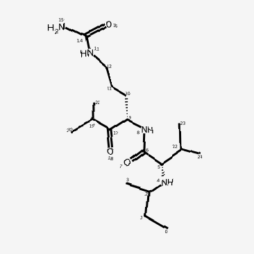 CCC(C)N[C@H](C(=O)N[C@@H](CCCNC(N)=O)C(=O)C(C)C)C(C)C